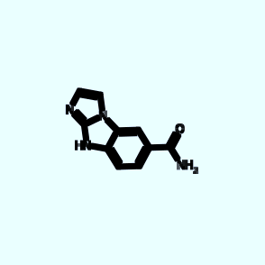 NC(=O)c1ccc2[nH]c3nccn3c2c1